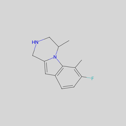 Cc1c(F)ccc2cc3n(c12)C(C)CNC3